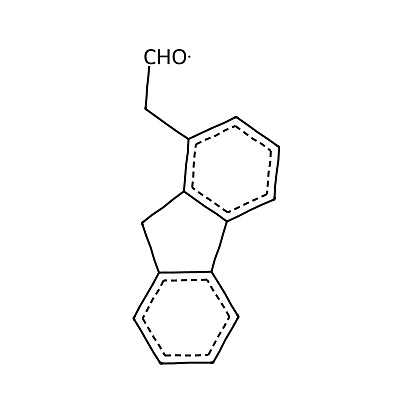 O=[C]Cc1cccc2c1Cc1ccccc1-2